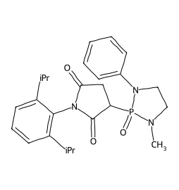 CC(C)c1cccc(C(C)C)c1N1C(=O)CC(P2(=O)N(C)CCN2c2ccccc2)C1=O